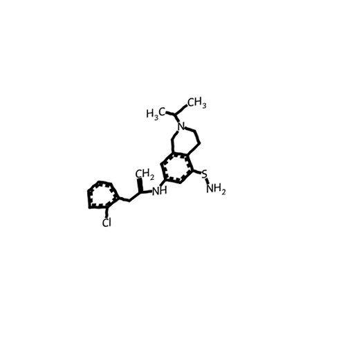 C=C(Cc1ccccc1Cl)Nc1cc2c(c(SN)c1)CCN(C(C)C)C2